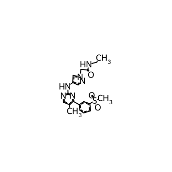 CCNC(=O)Cn1cc(Nc2ncc(C)c(-c3cccc(S(C)(=O)=O)c3)n2)cn1